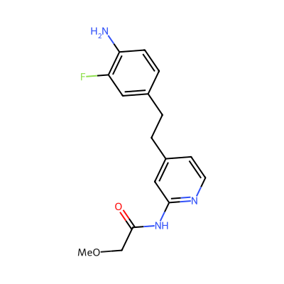 COCC(=O)Nc1cc(CCc2ccc(N)c(F)c2)ccn1